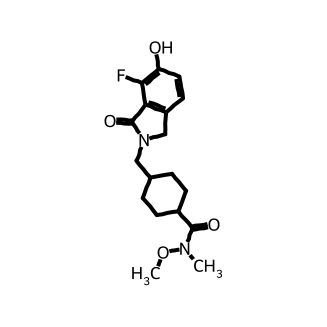 CON(C)C(=O)C1CCC(CN2Cc3ccc(O)c(F)c3C2=O)CC1